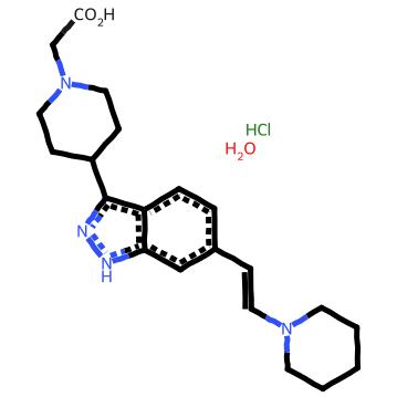 Cl.O.O=C(O)CN1CCC(c2n[nH]c3cc(C=CN4CCCCC4)ccc23)CC1